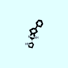 c1ccc(-c2ccc3nc([C@@H]4CCCN4)[nH]c3c2)cc1